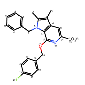 Cc1c(C)n(Cc2ccccc2)c2c(OCc3ccc(F)cc3)nc(C(=O)O)cc12